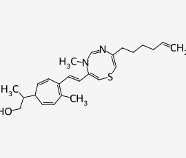 C=CCCCCc1cscc(/C=C/C2=C(C)C=CC(C(C)CO)C=C2)n(C)cn1